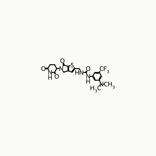 CN(C)c1cc(NC(=O)NCc2cc3c(s2)C(=O)N(C2CCC(=O)NC2=O)C3)cc(C(F)(F)F)c1